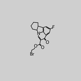 O=C(OCCBr)c1cn2c3c(cc(F)cc3c1=O)C1CCCCC12